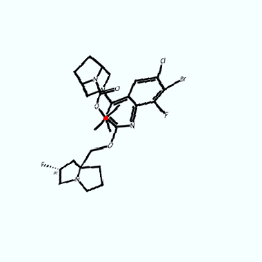 CC(C)(C)OC(=O)N1C2CCC1CN(c1nc(OCC34CCCN3C[C@H](F)C4)nc3c(F)c(Br)c(Cl)cc13)C2